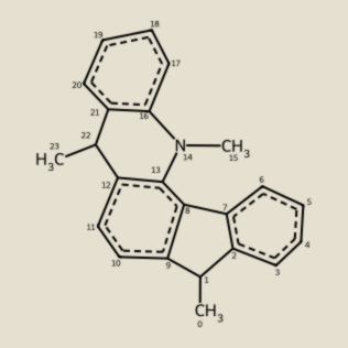 CC1c2ccccc2-c2c1ccc1c2N(C)c2ccccc2C1C